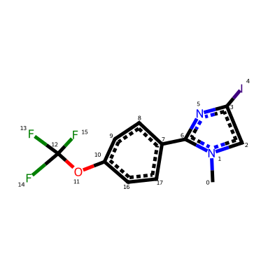 Cn1cc(I)nc1-c1ccc(OC(F)(F)F)cc1